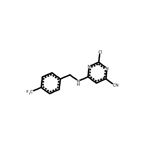 N#Cc1cc(NCc2ccc(C(F)(F)F)cc2)nc(Cl)n1